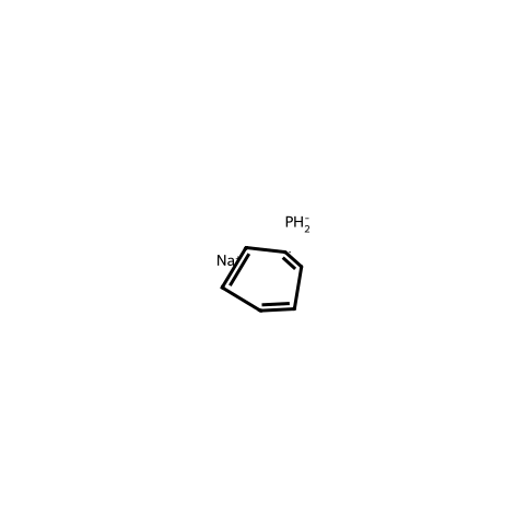 [Na+].[PH2-].[c]1ccccc1